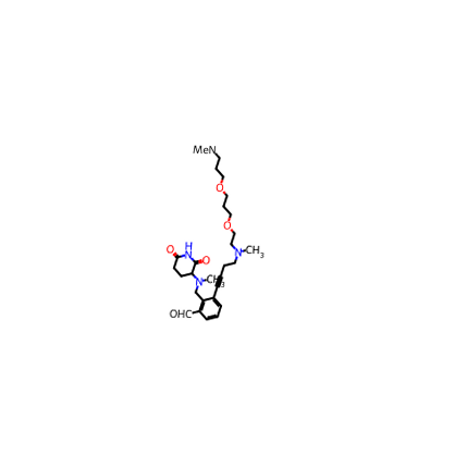 CNCCCOCCCOCCN(C)CCC#Cc1cccc(C=O)c1CN(C)C1CCC(=O)NC1=O